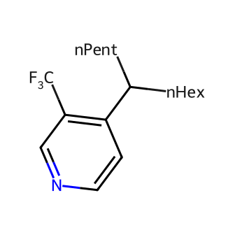 CCCCCCC(CCCCC)c1ccncc1C(F)(F)F